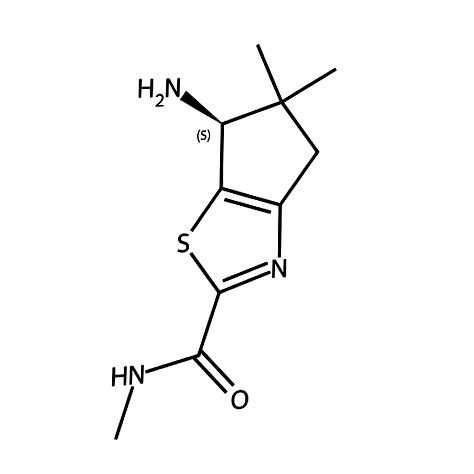 CNC(=O)c1nc2c(s1)[C@@H](N)C(C)(C)C2